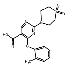 Cc1ccccc1Oc1nc(N2CCS(=O)(=O)CC2)ncc1C(=O)O